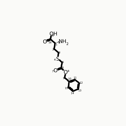 N[C@H](CCSCC(=O)OCc1ccccc1)C(=O)O